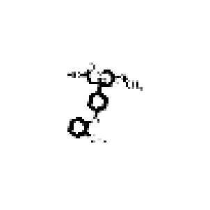 CO[C@@H]1CN[C@@](CC(=O)O)(c2ccc(Oc3ccccc3C)cc2)C1